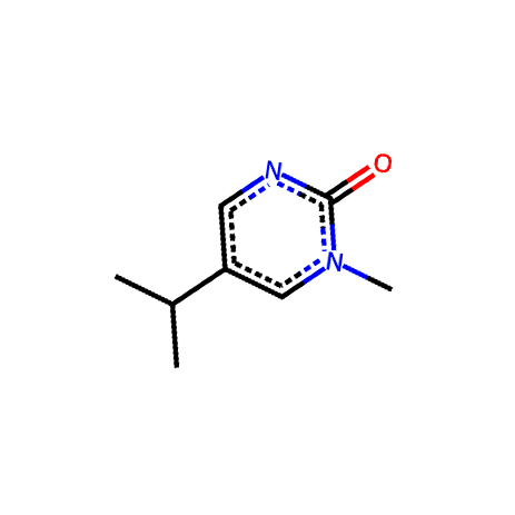 CC(C)c1cnc(=O)n(C)c1